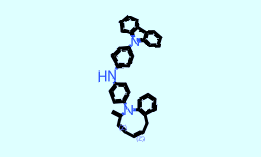 C=C1/C=C\C=C/Cc2ccccc2N1c1ccc(Nc2ccc(-n3c4ccccc4c4ccccc43)cc2)cc1